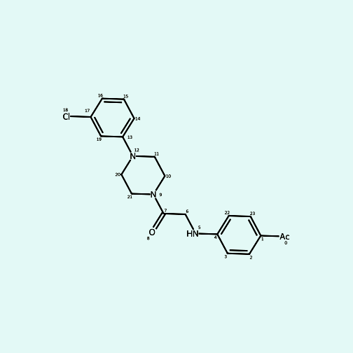 CC(=O)c1ccc(NCC(=O)N2CCN(c3cccc(Cl)c3)CC2)cc1